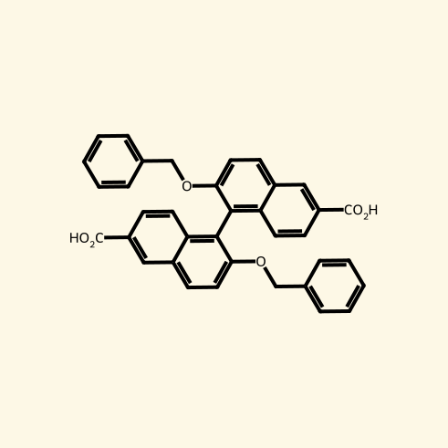 O=C(O)c1ccc2c(-c3c(OCc4ccccc4)ccc4cc(C(=O)O)ccc34)c(OCc3ccccc3)ccc2c1